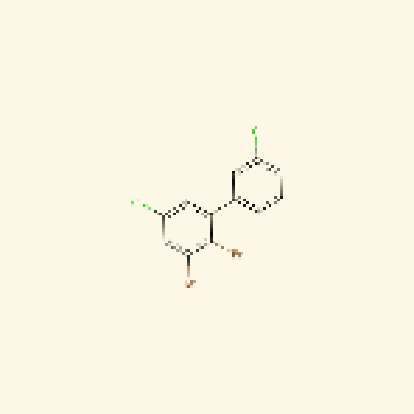 Clc1cccc(-c2cc(Cl)cc(Br)c2Br)c1